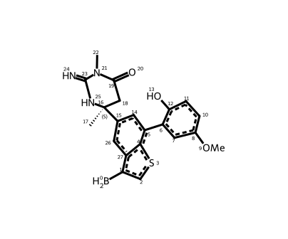 Bc1csc2c(-c3cc(OC)ccc3O)cc([C@]3(C)CC(=O)N(C)C(=N)N3)cc12